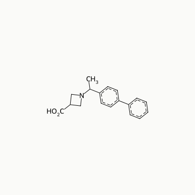 CC(c1ccc(-c2ccccc2)cc1)N1CC(C(=O)O)C1